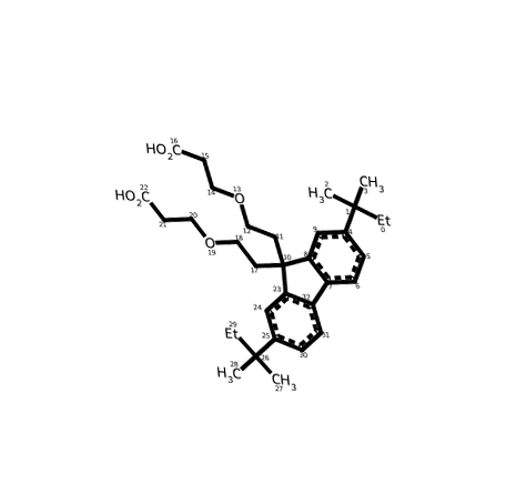 CCC(C)(C)c1ccc2c(c1)C(CCOCCC(=O)O)(CCOCCC(=O)O)c1cc(C(C)(C)CC)ccc1-2